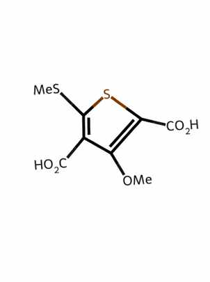 COc1c(C(=O)O)sc(SC)c1C(=O)O